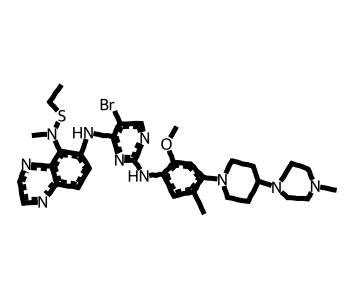 CCSN(C)c1c(Nc2nc(Nc3cc(C)c(N4CCC(N5CCN(C)CC5)CC4)cc3OC)ncc2Br)ccc2nccnc12